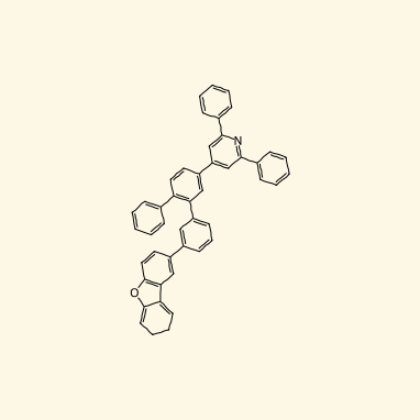 C1=c2oc3ccc(-c4cccc(-c5cc(-c6cc(-c7ccccc7)nc(-c7ccccc7)c6)ccc5-c5ccccc5)c4)cc3c2=CCC1